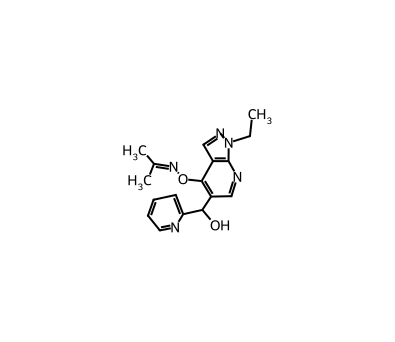 CCn1ncc2c(ON=C(C)C)c(C(O)c3ccccn3)cnc21